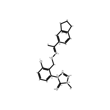 CC(=NOCc1c(Cl)cccc1-n1nnn(C)c1=O)c1ccc2c(c1)CCC2